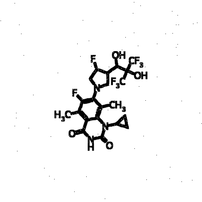 Cc1c(F)c(N2CC(F)C(C(O)C(O)(C(F)(F)F)C(F)(F)F)C2)c(C)c2c1c(=O)[nH]c(=O)n2C1CC1